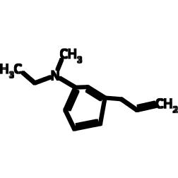 C=CCc1cccc(N(C)CC)c1